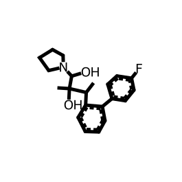 CC(c1ccccc1-c1ccc(F)cc1)C(C)(O)C(O)N1CCCC1